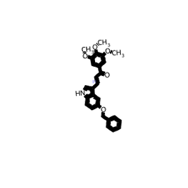 COc1cc(C(=O)/C=C/c2c[nH]c3ccc(OCc4ccccc4)cc23)cc(OC)c1OC